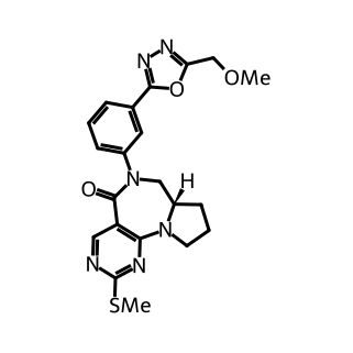 COCc1nnc(-c2cccc(N3C[C@@H]4CCCN4c4nc(SC)ncc4C3=O)c2)o1